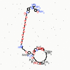 CO[C@H]1C[C@@H]2CC[C@@H](C)[C@@](O)(O2)C(=O)C(=O)N2CCCC[C@H]2C(=O)O[C@H]([C@H](N)C[C@@H]2CC[C@@H](OCCCCc3cn(CCOCCOCCOCCOCCOCCOCCOCCOCCC(=O)N4CCc5cc(Cn6nc(-c7ccc8oc(N)nc8c7)c7c(N)ncnc76)ccc5C4)[nH]3)[C@H](OC)C2)CC(=O)[C@H](C)/C=C(\C)[C@@H](O)[C@@H](OC)C(=O)[C@H](C)C[C@H](C)/C=C/C=C/C=C/1C